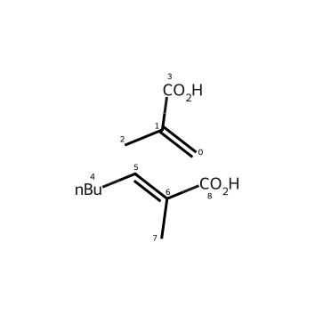 C=C(C)C(=O)O.CCCC/C=C(\C)C(=O)O